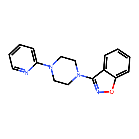 c1ccc(N2CCN(c3noc4ccccc34)CC2)nc1